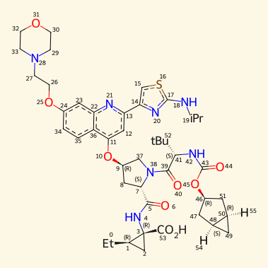 CC[C@@H]1C[C@]1(NC(=O)[C@@H]1C[C@@H](Oc2cc(-c3csc(NC(C)C)n3)nc3cc(OCCN4CCOCC4)ccc23)CN1C(=O)[C@@H](NC(=O)O[C@@H]1C[C@@H]2C[C@@H]2C1)C(C)(C)C)C(=O)O